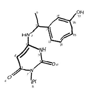 CC(Nc1cc(=O)n(C(C)C)c(=O)[nH]1)c1cccc(O)c1